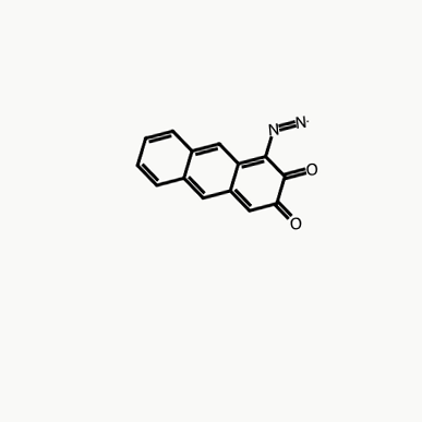 [N]=NC1=c2cc3ccccc3cc2=CC(=O)C1=O